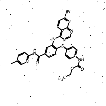 Cc1ccc(NC(=O)c2ccc(Sc3ccc(NC(=O)OCC(Cl)(Cl)Cl)cc3)c(Nc3ncnc4nc(C(C)C)ccc34)c2)nc1